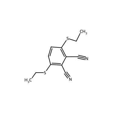 CCSc1ccc(SCC)c(C#N)c1C#N